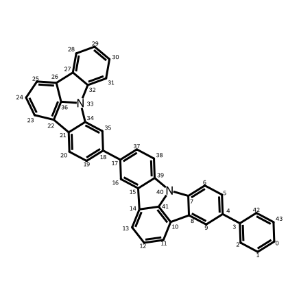 c1ccc(-c2ccc3c(c2)c2cccc4c5cc(-c6ccc7c8cccc9c%10ccccc%10n(c7c6)c98)ccc5n3c24)cc1